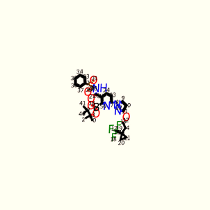 CC1(C)OB(c2nc(-n3ccc(OCCC4(C(F)(F)F)CC4)n3)ccc2C(=O)NS(=O)(=O)c2ccccc2)OC1(C)C